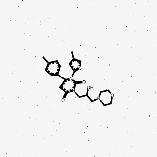 Cc1ccc(-c2cc(=O)n(CC(O)CN3CCOCC3)c(=O)n2-c2cc(C)cs2)cc1